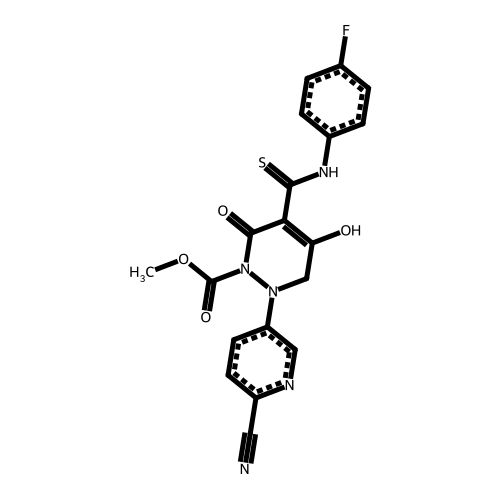 COC(=O)N1C(=O)C(C(=S)Nc2ccc(F)cc2)=C(O)CN1c1ccc(C#N)nc1